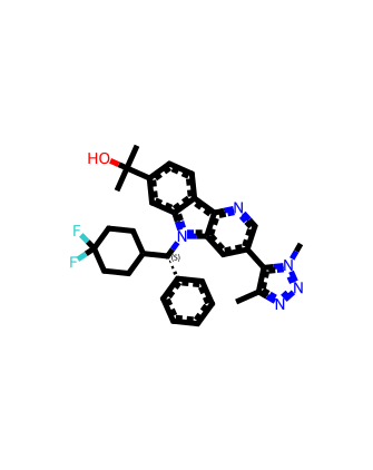 Cc1nnn(C)c1-c1cnc2c3ccc(C(C)(C)O)cc3n([C@H](c3ccccc3)C3CCC(F)(F)CC3)c2c1